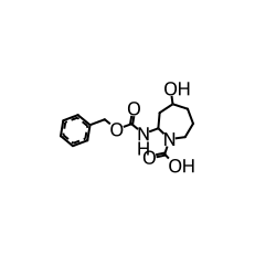 O=C(NC1CC(O)CCCN1C(=O)O)OCc1ccccc1